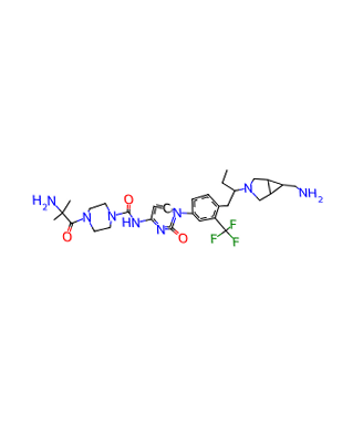 CCC(Cc1ccc(-n2ccc(NC(=O)N3CCN(C(=O)C(C)(C)N)CC3)nc2=O)cc1C(F)(F)F)N1CC2C(CN)C2C1